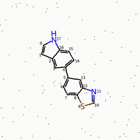 c1cc2cc(-c3ccc4scnc4c3)ccc2[nH]1